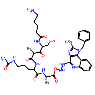 CCCCc1nc2c(NNOC(=O)C(NC(=O)C(CCCNC(N)=O)NC(=O)C(C(=O)C(CO)NC(=O)CCCCN)C(C)C)C(C)C)nc3ccccc3c2n1Cc1ccccc1